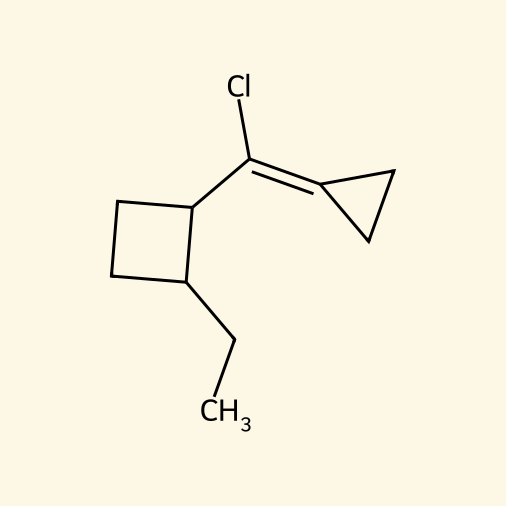 CCC1CCC1C(Cl)=C1CC1